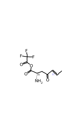 C/C=C/C(=O)C[C@H](N)C(=O)OC(=O)C(F)(F)F